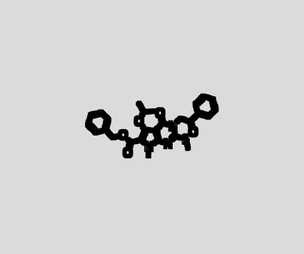 CSc1nc2c(c(OC(C)C)c(C(=O)OCc3ccccc3)n2C)c(=O)n1CC(=O)c1ccccc1